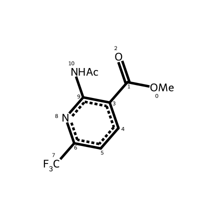 COC(=O)c1ccc(C(F)(F)F)nc1NC(C)=O